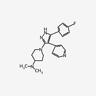 CN(C)C1CCN(c2n[nH]c(-c3ccc(F)cc3)c2-c2ccncc2)CC1